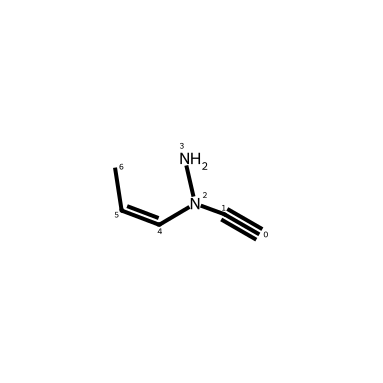 C#CN(N)/C=C\C